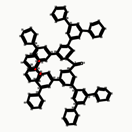 O=C(c1cc(-c2cc(-c3ccccc3)cc(-c3ccccc3)c2)cc(-c2cc(-c3ccccc3)cc(-c3ccccc3)c2)c1)c1cc(-c2cc(-c3ccccc3)cc(-c3ccccc3)c2)cc(-c2cc(-c3ccccc3)cc(-c3ccccc3)c2)c1